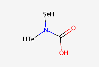 O=C(O)N([SeH])[TeH]